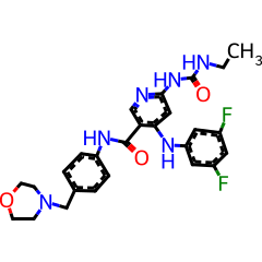 CCNC(=O)Nc1cc(Nc2cc(F)cc(F)c2)c(C(=O)Nc2ccc(CN3CCOCC3)cc2)cn1